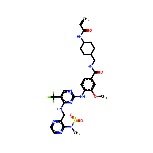 C=CC(=O)NC1CCC(CNC(=O)c2ccc(Nc3ncc(C(F)(F)F)c(NCc4nccnc4N(C)[SH](=O)=O)n3)c(OC)c2)CC1